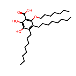 CCCCCCCCc1c(O)c(O)c(C(=O)O)c(OCCCCCCC)c1CCCCCCCC